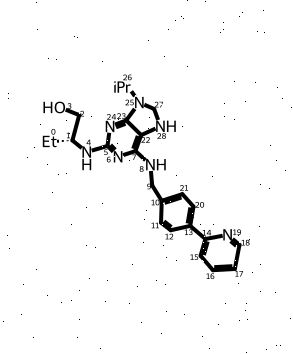 CC[C@H](CO)Nc1nc(NCc2ccc(-c3ccccn3)cc2)c2c(n1)N(C(C)C)CN2